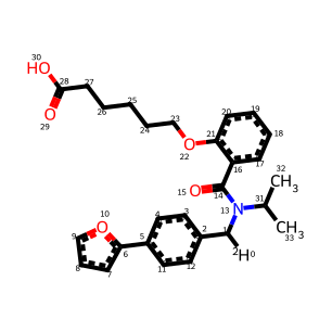 [2H]C(c1ccc(-c2ccco2)cc1)N(C(=O)c1ccccc1OCCCCCC(=O)O)C(C)C